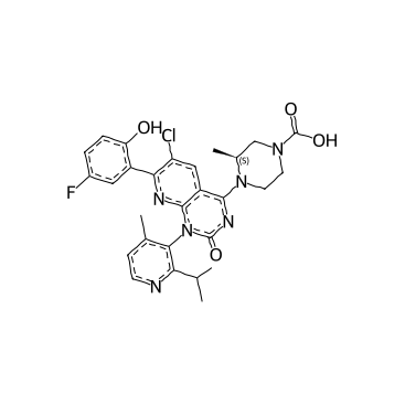 Cc1ccnc(C(C)C)c1-n1c(=O)nc(N2CCN(C(=O)O)C[C@@H]2C)c2cc(Cl)c(-c3cc(F)ccc3O)nc21